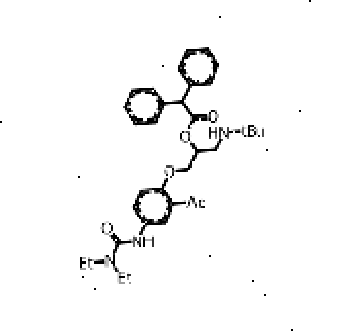 CCN(CC)C(=O)Nc1ccc(OCC(CNC(C)(C)C)OC(=O)C(c2ccccc2)c2ccccc2)c(C(C)=O)c1